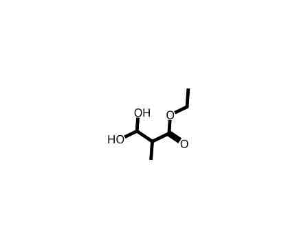 CCOC(=O)C(C)C(O)O